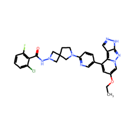 CCOc1cc(-c2ccc(N3CCC4(CN(NC(=O)c5c(F)cccc5Cl)C4)C3)nc2)c2c3cn[nH]c3nn2c1